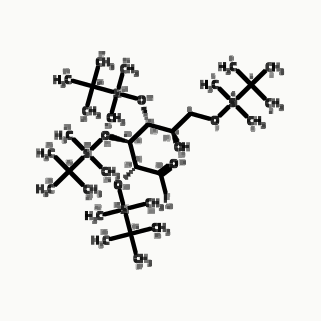 CC(C)(C)[Si](C)(C)OC[C@@H](O)[C@@H](O[Si](C)(C)C(C)(C)C)[C@H](O[Si](C)(C)C(C)(C)C)[C@@H](O[Si](C)(C)C(C)(C)C)C(=O)F